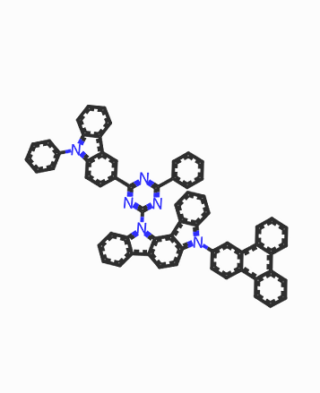 c1ccc(-c2nc(-c3ccc4c(c3)c3ccccc3n4-c3ccccc3)nc(-n3c4ccccc4c4ccc5c(c6ccccc6n5-c5ccc6c7ccccc7c7ccccc7c6c5)c43)n2)cc1